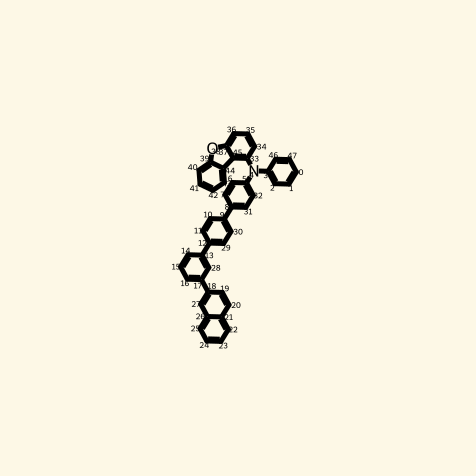 c1ccc(N(c2ccc(-c3ccc(-c4cccc(-c5ccc6ccccc6c5)c4)cc3)cc2)c2cccc3oc4ccccc4c23)cc1